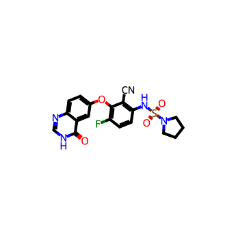 N#Cc1c(NS(=O)(=O)N2CCCC2)ccc(F)c1Oc1ccc2nc[nH]c(=O)c2c1